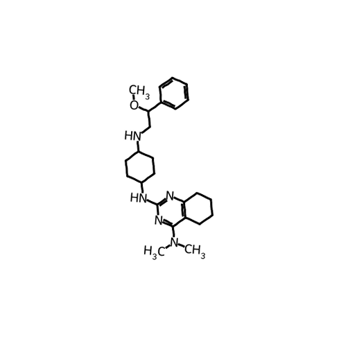 COC(CNC1CCC(Nc2nc3c(c(N(C)C)n2)CCCC3)CC1)c1ccccc1